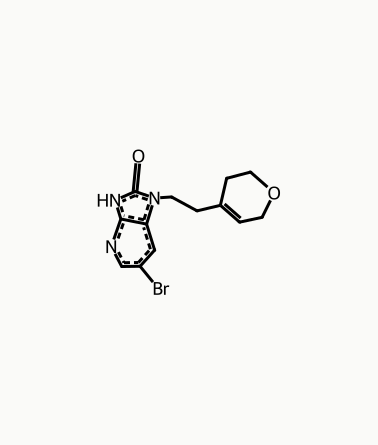 O=c1[nH]c2ncc(Br)cc2n1CCC1=CCOCC1